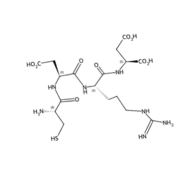 N=C(N)NCCC[C@H](NC(=O)[C@H](CC(=O)O)NC(=O)[C@@H](N)CS)C(=O)N[C@@H](CC(=O)O)C(=O)O